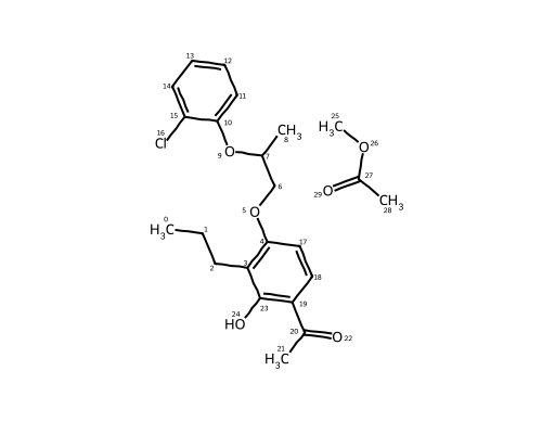 CCCc1c(OCC(C)Oc2ccccc2Cl)ccc(C(C)=O)c1O.COC(C)=O